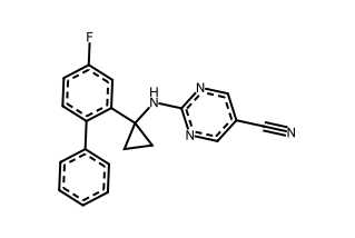 N#Cc1cnc(NC2(c3cc(F)ccc3-c3ccccc3)CC2)nc1